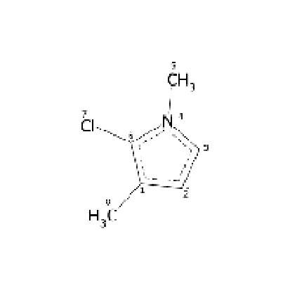 Cc1[c]cn(C)c1Cl